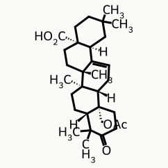 CC(=O)OC[C@]12CCC(=O)C(C)(C)[C@@H]1CC[C@]1(C)[C@@H]2CC=C2[C@@H]3CC(C)(C)CC[C@]3(C(=O)O)CC[C@]21C